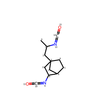 CC(CC12CCC(C1)C(N=C=O)C2)N=C=O